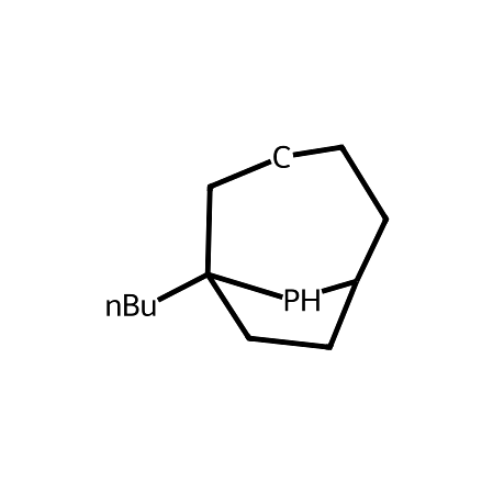 CCCCC12CCCCC(CC1)P2